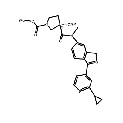 CO[C@@]1(C(=O)N(C)c2ccc3c(c2)CN=C3c2ccnc(C3CC3)c2)CCN(C(=O)OC(C)(C)C)C1